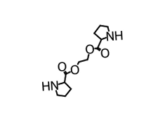 O=C(OCCOC(=O)C1CCCN1)C1CCCN1